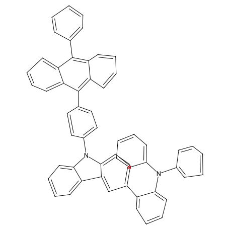 c1ccc(-c2c3ccccc3c(-c3ccc(-n4c5ccccc5c5cc(-c6ccccc6N(c6ccccc6)c6ccccc6)ccc54)cc3)c3ccccc23)cc1